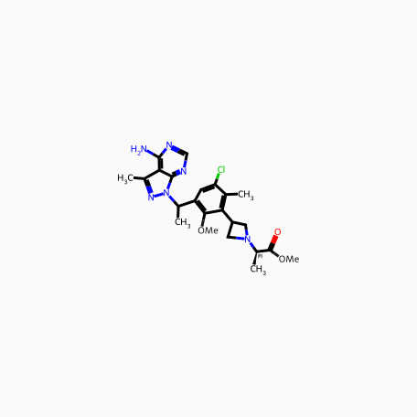 COC(=O)[C@@H](C)N1CC(c2c(C)c(Cl)cc(C(C)n3nc(C)c4c(N)ncnc43)c2OC)C1